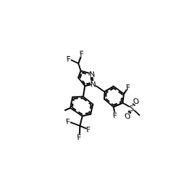 Cc1cc(-c2cc(C(F)F)nn2-c2cc(F)c(S(C)(=O)=O)c(F)c2)ccc1C(F)(F)F